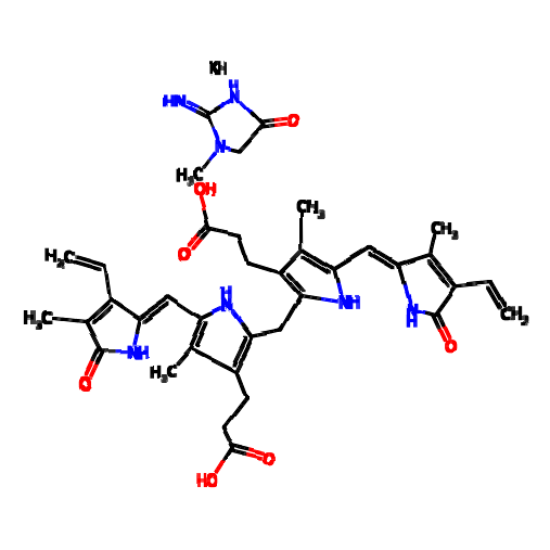 C=CC1=C(C)/C(=C/c2[nH]c(Cc3[nH]c(/C=C4\NC(=O)C(C)=C4C=C)c(C)c3CCC(=O)O)c(CCC(=O)O)c2C)NC1=O.CN1CC(=O)NC1=N.[KH]